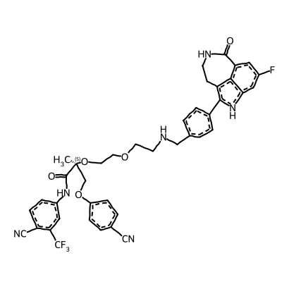 C[C@@](COc1ccc(C#N)cc1)(OCCOCCNCc1ccc(-c2[nH]c3cc(F)cc4c3c2CCNC4=O)cc1)C(=O)Nc1ccc(C#N)c(C(F)(F)F)c1